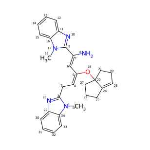 Cn1c(C/C=C(\C=C(/N)c2nc3ccccc3n2C)OC23CCC=C2CCC3)nc2ccccc21